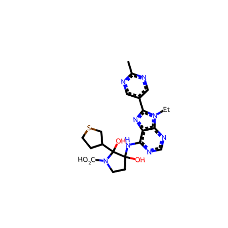 CCn1c(-c2cnc(C)nc2)nc2c(NC3(O)CCN(C(=O)O)C3(O)C3CCSC3)ncnc21